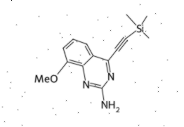 COc1cccc2c(C#C[Si](C)(C)C)nc(N)nc12